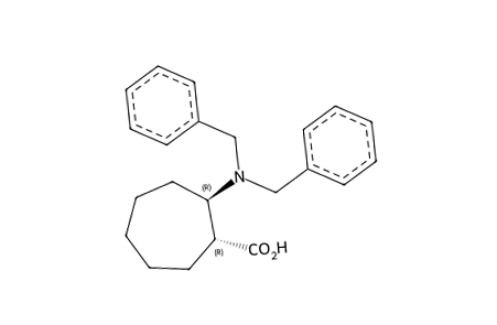 O=C(O)[C@@H]1CCCCC[C@H]1N(Cc1ccccc1)Cc1ccccc1